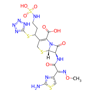 CON=C(C(=O)N[C@@H]1C(=O)N2C(C(=O)O)=C(C(CCNS(=O)(=O)O)Sc3nnn[nH]3)CS[C@@H]12)c1csc(N)n1